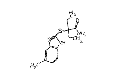 CCC(CC)(Sc1nc2cc(C)ccc2[nH]1)C(N)=O